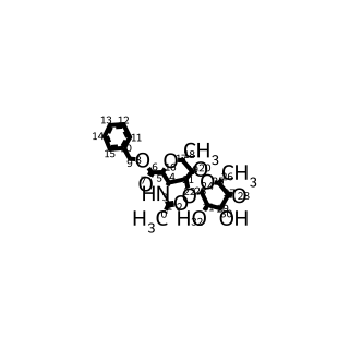 CC(=O)NC1C(C(=O)OCc2ccccc2)OC(C)C(=O)C1O[C@@H]1OC(C)C(=O)C(O)C1O